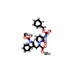 CC(C)(C)OC(=O)C(Cc1cn(C(=O)OC(C)(C)C)c2ccccc12)n1cccc(NC(=O)OCc2ccccc2)c1=O